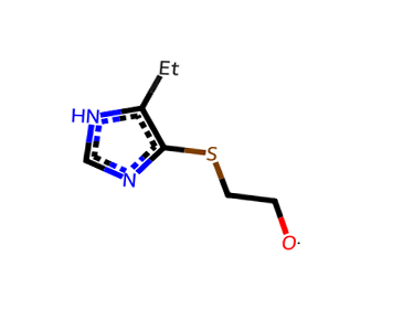 CCc1[nH]cnc1SCC[O]